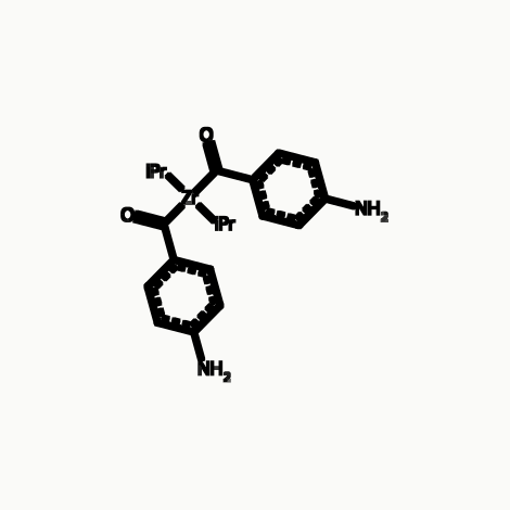 C[CH](C)[Zr]([C](=O)c1ccc(N)cc1)([C](=O)c1ccc(N)cc1)[CH](C)C